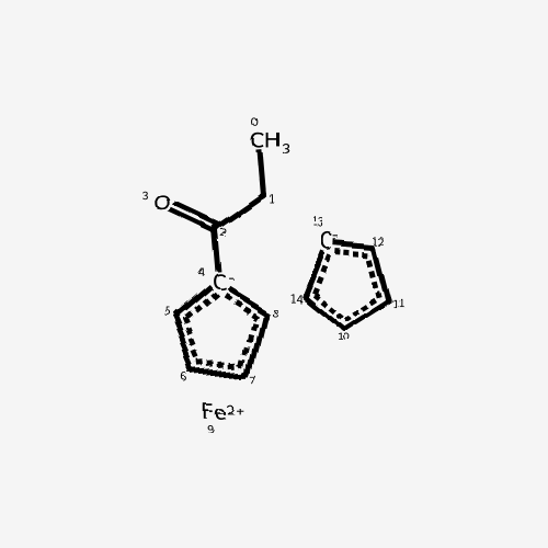 CCC(=O)[c-]1cccc1.[Fe+2].c1cc[cH-]c1